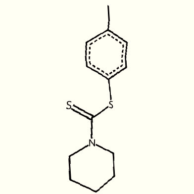 Cc1ccc(SC(=S)N2CCCCC2)cc1